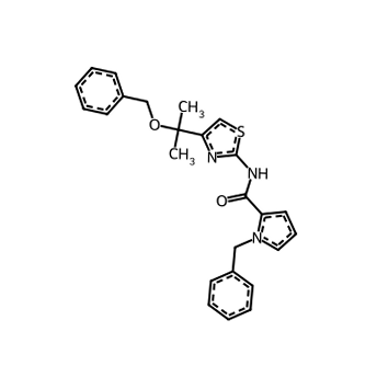 CC(C)(OCc1ccccc1)c1csc(NC(=O)c2cccn2Cc2ccccc2)n1